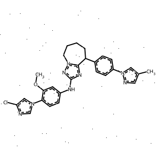 COc1cc(Nc2nc3n(n2)CCCCC3c2ccc(-n3cc(C)cn3)cc2)ccc1-n1cnc(Cl)c1